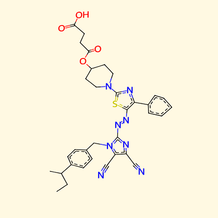 CCC(C)c1ccc(Cn2c(/N=N/c3sc(N4CCC(OC(=O)CCC(=O)O)CC4)nc3-c3ccccc3)nc(C#N)c2C#N)cc1